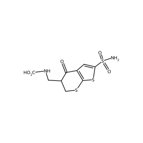 NS(=O)(=O)c1cc2c(s1)SCC(CNC(=O)O)C2=O